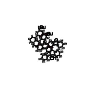 CC(C)(C)c1cc(-c2cccc3cccc(-c4ccccc4N(c4ccc5c(c4)oc4ccccc45)c4ccccc4-c4ccc5c(c4)C(C)(c4ccccc4)c4ccccc4-5)c23)cc(C(C)(C)C)c1